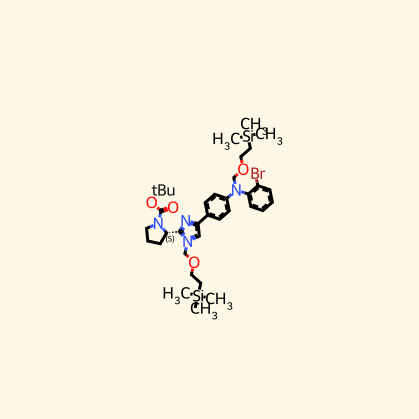 CC(C)(C)OC(=O)N1CCC[C@H]1c1nc(-c2ccc(N(COCC[Si](C)(C)C)c3ccccc3Br)cc2)cn1COCC[Si](C)(C)C